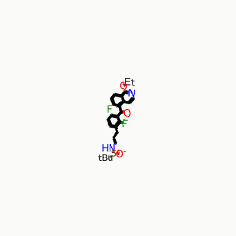 CCOc1nccc2c(C(=O)c3c(F)ccc(CCCN[S+]([O-])C(C)(C)C)c3F)cccc12